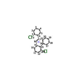 Clc1ccccc1/C=C/c1cccc(Cl)c1-c1ccccc1